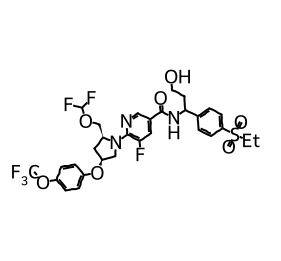 CCS(=O)(=O)c1ccc(C(CCO)NC(=O)c2cnc(N3C[C@@H](Oc4ccc(OC(F)(F)F)cc4)C[C@H]3COC(F)F)c(F)c2)cc1